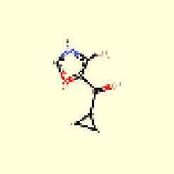 Cc1ncoc1C(=O)C1CC1